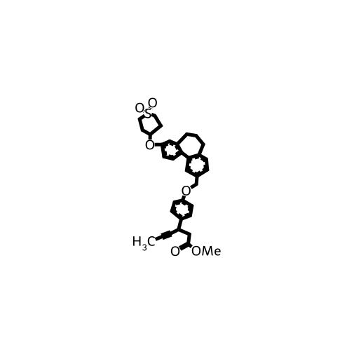 CC#CC(CC(=O)OC)c1ccc(OCc2ccc3c(c2)-c2ccc(OC4CCS(=O)(=O)CC4)cc2CCC3)cc1